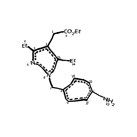 CCOC(=O)Cc1c(CC)nn(Cc2ccc(N)cc2)c1CC